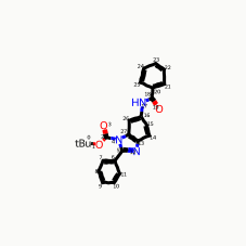 CC(C)(C)OC(=O)n1c(-c2ccccc2)nc2ccc(NC(=O)c3ccccc3)cc21